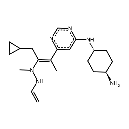 C=CNN(C)/C(CC1CC1)=C(\C)c1cc(N[C@H]2CC[C@H](N)CC2)ncn1